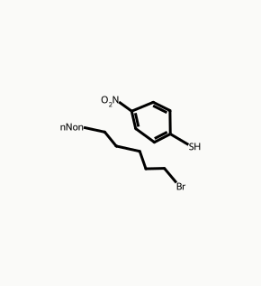 CCCCCCCCCCCCCCBr.O=[N+]([O-])c1ccc(S)cc1